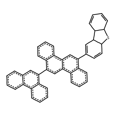 C1=CC2SC3C=CC(c4cc5c6ccccc6c(-c6cc7ccccc7c7ccccc67)cc5c5ccccc45)=CC3C2C=C1